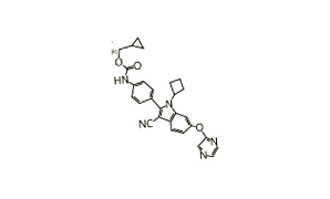 C[C@@H](OC(=O)Nc1ccc(-c2c(C#N)c3ccc(Oc4cnccn4)cc3n2C2CCC2)cc1)C1CC1